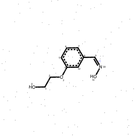 OCCOc1cccc(/C=N\O)c1